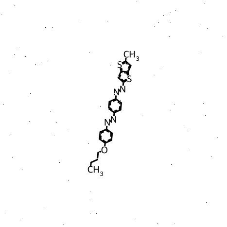 CCCCOc1ccc(N=Nc2ccc(N=Nc3cc4sc(C)cc4s3)cc2)cc1